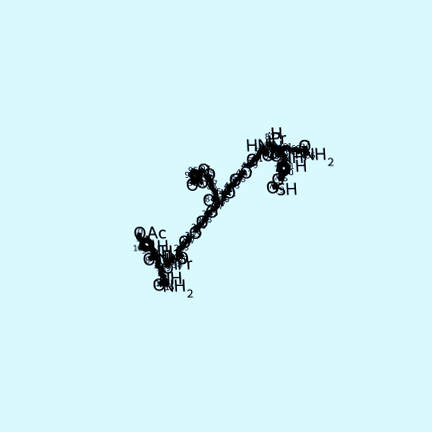 CC(=O)OCc1ccc(NC(=O)C(CCCNC(N)=O)NC(=O)[C@@H](NC(=O)CCOCCOCCOCCOCCN(CCOCCOCCOCCOCCC(=O)N[C@H](C(=O)NC(CCCNC(N)=O)C(=O)Nc2ccc(COC(=O)S)cc2)C(C)C)C(=O)CCCC(=O)ON2C(=O)CCC2=O)C(C)C)cc1